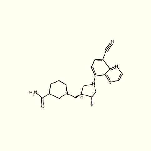 N#Cc1ccc(N2CC(F)[C@@H](CN3CCCC(C(N)=O)C3)C2)c2nccnc12